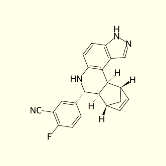 N#Cc1cc([C@@H]2Nc3ccc4[nH]ncc4c3[C@@H]3[C@H]2[C@H]2C=C[C@@H]3C2)ccc1F